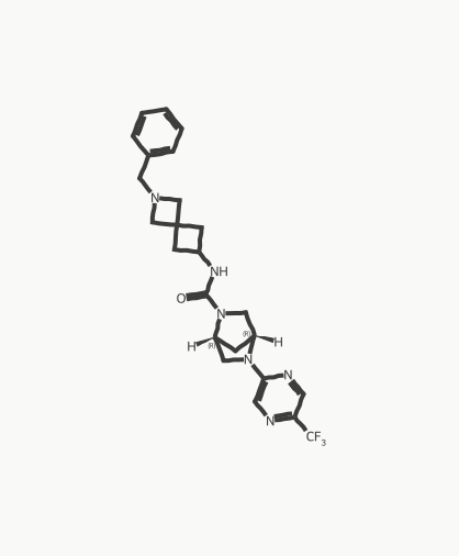 O=C(NC1CC2(C1)CN(Cc1ccccc1)C2)N1C[C@H]2C[C@@H]1CN2c1cnc(C(F)(F)F)cn1